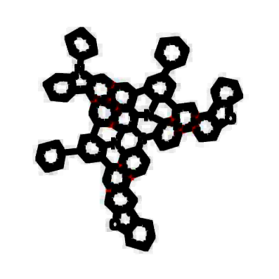 c1ccc(-c2cc(-c3ccccc3)c(N3c4cc(-c5ccc6oc7ccccc7c6c5)ccc4B4c5ccc(-c6ccc7oc8ccccc8c7c6)cc5N(c5c(-c6ccccc6)cc(-c6ccccc6)cc5-c5ccccc5)c5cc(-c6ccc7c(c6)c6ccccc6n7-c6ccccc6)cc3c54)c(-c3ccccc3)c2)cc1